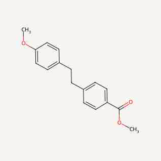 COC(=O)c1ccc(CCc2ccc(OC)cc2)cc1